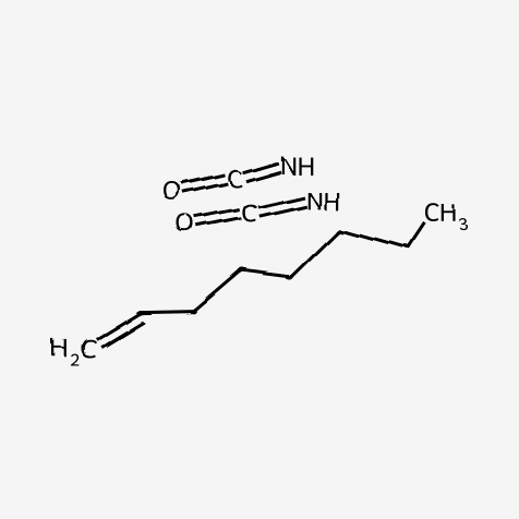 C=CCCCCCC.N=C=O.N=C=O